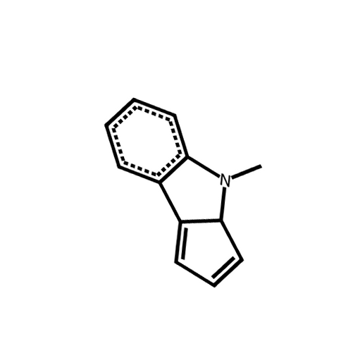 CN1c2ccccc2C2=CC=CC21